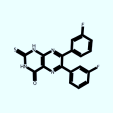 O=c1[nH]c(=S)[nH]c2nc(-c3cccc(F)c3)c(-c3cccc(F)c3)nc12